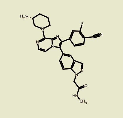 CNC(=O)Cn1ncc2cc(-c3c(-c4ccc(C#N)c(F)c4)nc4c(N5CCC[C@@H](N)C5)nccn34)ccc21